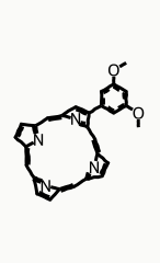 COc1cc(OC)cc(C2=CC3=CC4=NC(=CC5=NC(=CC6=NC(=CC2=N3)C=C6)C=C5)C=C4)c1